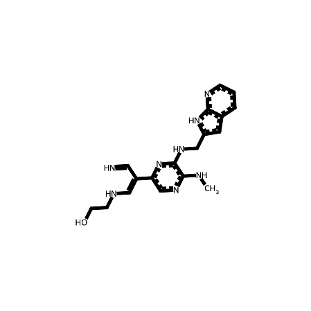 CNc1ncc(/C(C=N)=C/NCCO)nc1NCc1cc2cccnc2[nH]1